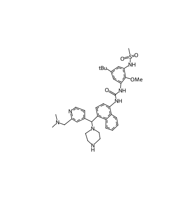 COc1c(NC(=O)Nc2ccc(C(c3ccnc(CN(C)C)c3)N3CCNCC3)c3ccccc23)cc(C(C)(C)C)cc1NS(C)(=O)=O